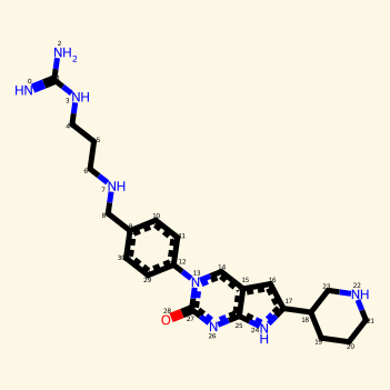 N=C(N)NCCCNCc1ccc(-n2cc3cc(C4CCCNC4)[nH]c3nc2=O)cc1